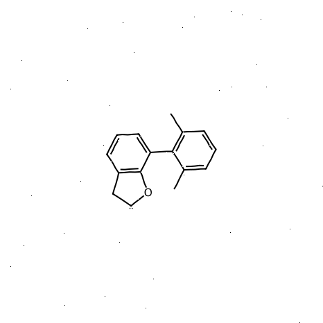 Cc1cccc(C)c1-c1cccc2c1O[C]C2